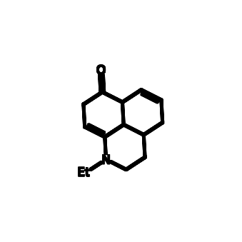 CCN1CCC2CC=CC3C(=O)CC=C1C23